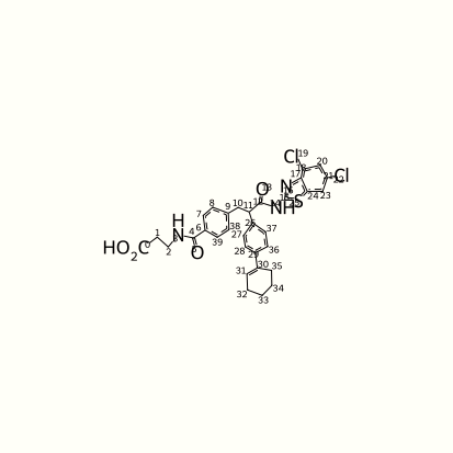 O=C(O)CCNC(=O)c1ccc(CC(C(=O)Nc2nc3c(Cl)cc(Cl)cc3s2)c2ccc(C3=CCCCC3)cc2)cc1